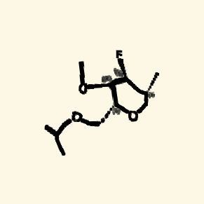 CO[C@H]1[C@@H](F)[C@H](C)CO[C@@H]1COC(C)C